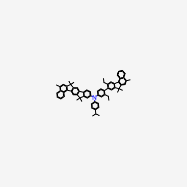 CCc1cc(N(c2ccc(C(C)C)cc2)c2ccc3c(c2)C(C)(C)c2cc4c(cc2-3)C(C)(C)c2cc(C)c3ccccc3c2-4)ccc1-c1cc2c(cc1CC)-c1c(cc(C)c3ccccc13)C2(C)C